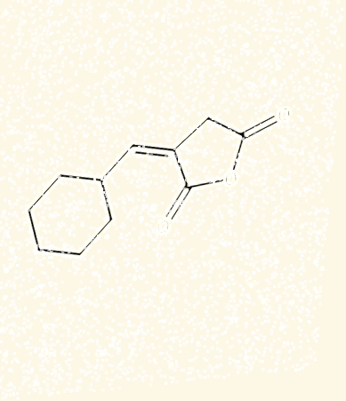 O=C1CC(=CC2CCCCC2)C(=O)O1